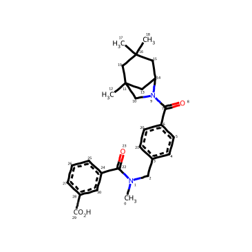 CN(Cc1ccc(C(=O)N2CC3(C)CC2CC(C)(C)C3)cc1)C(=O)c1cccc(C(=O)O)c1